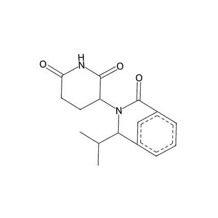 CC(C)C1c2cccc(c2)C(=O)N1C1CCC(=O)NC1=O